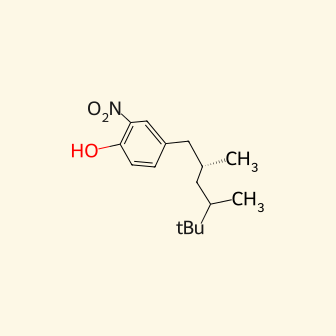 CC(C[C@@H](C)Cc1ccc(O)c([N+](=O)[O-])c1)C(C)(C)C